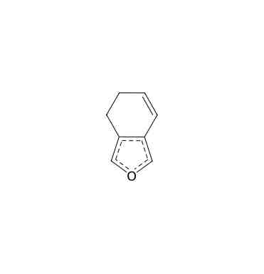 C1=Cc2cocc2CC1